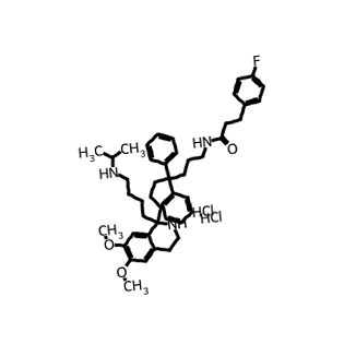 COc1cc2c(cc1OC)C(CCCCNC(C)C)(CCCC(CCCNC(=O)CCc1ccc(F)cc1)(c1ccccc1)c1ccccc1)NCC2.Cl.Cl